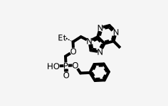 CC[C@H](Cn1cnc2c(C)ncnc21)OCP(=O)(O)OCc1ccccc1